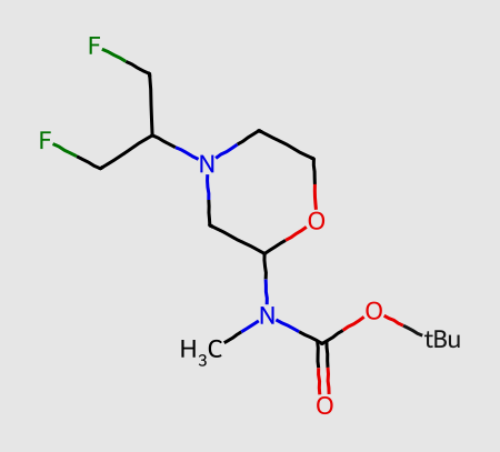 CN(C(=O)OC(C)(C)C)C1CN(C(CF)CF)CCO1